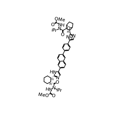 COC(=O)NN(C(=O)C1C2CCC(O2)[C@H]1c1ncc(-c2ccc(-c3ccc4cc(-c5cnc([C@H]6CCCC[C@H]6C(=O)N(NC(=O)OC)C(C)C)[nH]5)ccc4c3)cc2)[nH]1)C(C)C